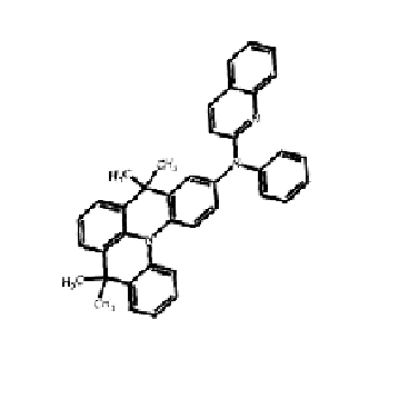 CC1(C)c2ccccc2N2c3ccc(N(c4ccccc4)c4ccc5ccccc5n4)cc3C(C)(C)c3cccc1c32